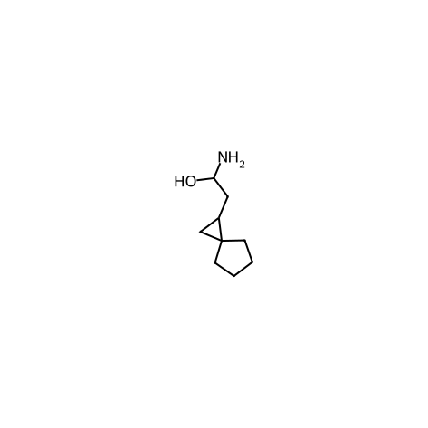 NC(O)CC1CC12CCCC2